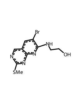 CSc1ncc2cc(Br)c(NCCO)nc2n1